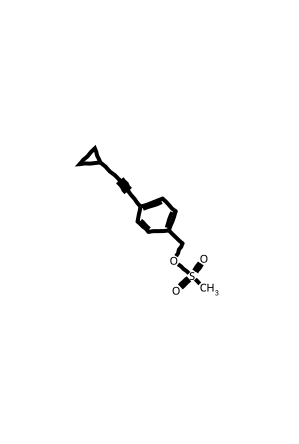 CS(=O)(=O)OCc1ccc(C#CC2CC2)cc1